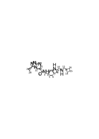 O=C(NCc1ccc2cc(CNCC3CCC3)[nH]c2c1)c1cnc2nnc(C3CC3)n2c1